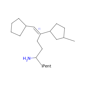 CCCC(C)C(N)CC/C(=C\C1CCCC1)C1CCC(C)C1